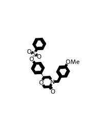 COc1ccc(CN2C[C@@H](c3ccc(OS(=O)(=O)c4ccccc4)cc3)OCC2=O)cc1